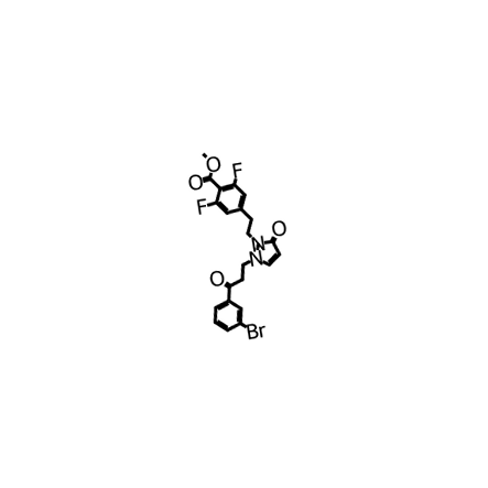 COC(=O)c1c(F)cc(CCn2c(=O)ccn2CCC(=O)c2cccc(Br)c2)cc1F